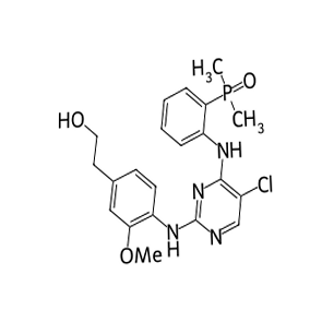 COc1cc(CCO)ccc1Nc1ncc(Cl)c(Nc2ccccc2P(C)(C)=O)n1